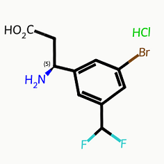 Cl.N[C@@H](CC(=O)O)c1cc(Br)cc(C(F)F)c1